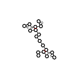 c1cc(-c2ccccc2N(c2ccc(-c3ccc(-c4ccc(-c5cccc6c(-c7cccc(-c8ccccc8N(c8ccc(-c9cccc%10oc%11ccccc%11c9%10)cc8)c8cccc9c8sc8ccccc89)c7)cccc56)cc4)cc3)cc2)c2cccc3c2sc2ccccc23)cc(-c2cccc3ccccc23)c1